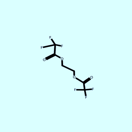 O=C(OCCOC(=O)C(F)(F)F)C(F)(F)F